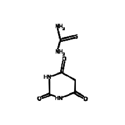 NC(N)=S.O=C1CC(=O)NC(=O)N1